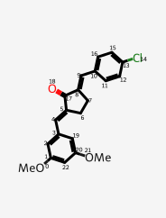 COc1cc(/C=C2\CC/C(=C\c3ccc(Cl)cc3)C2=O)cc(OC)c1